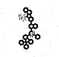 CC1(C)c2cc(-c3ccc(-c4cc(-c5cccc6c5-c5ccccc5C6(c5ccccc5)c5ccccc5)nc(-c5ccccc5)n4)c4ccccc34)ccc2-c2ccc3ccccc3c21